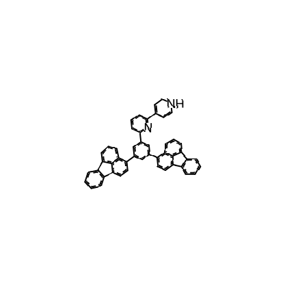 C1=CC(c2cccc(-c3cc(-c4ccc5c6c(cccc46)-c4ccccc4-5)cc(-c4ccc5c6c(cccc46)-c4ccccc4-5)c3)n2)=CCN1